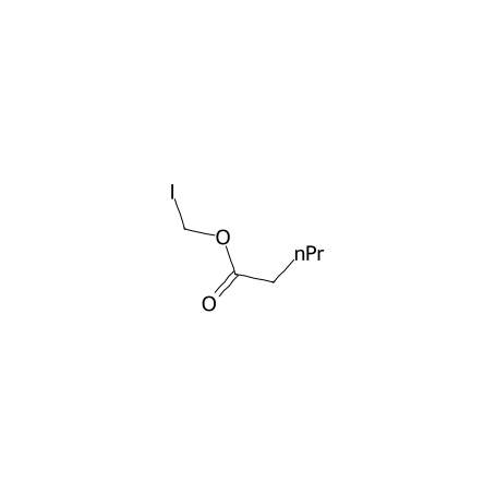 CCCCC(=O)OCI